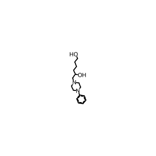 OCCCCC(O)CN1CCN(c2ccccc2)CC1